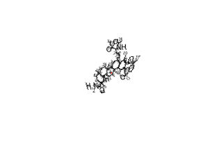 CC[C@@]12CC[C@@]3(C)c4cc(OC(C)=O)c(OC(C)=O)c(C)c4C(SC[C@H](NC(C)=O)C(=O)OC)CC3[C@@]1(C)CC[C@@]1(C)CC[C@@](C)(C(N)=O)C[C@H]12